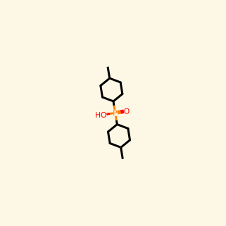 CC1CCC(P(=O)(O)C2CCC(C)CC2)CC1